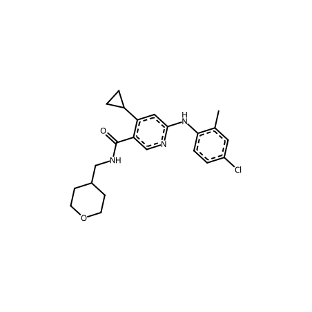 Cc1cc(Cl)ccc1Nc1cc(C2CC2)c(C(=O)NCC2CCOCC2)cn1